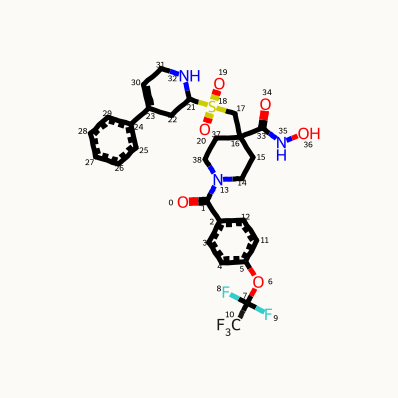 O=C(c1ccc(OC(F)(F)C(F)(F)F)cc1)N1CCC(CS(=O)(=O)C2CC(c3ccccc3)=CCN2)(C(=O)NO)CC1